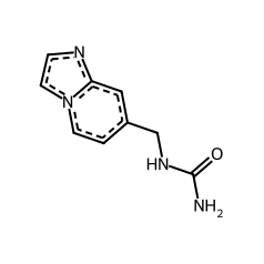 NC(=O)NCc1ccn2ccnc2c1